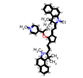 CCN1/C(=C/C=C2\CCC(/C=C/C3=[N+](C)c4ccc5ccccc5c4C3(C)C)=C2OC(c2cc[n+](C)cc2)C(C)C)C(C)(C)c2c1ccc1ccccc21